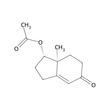 CC(=O)O[C@H]1CCC2=CC(=O)CC[C@@]21C